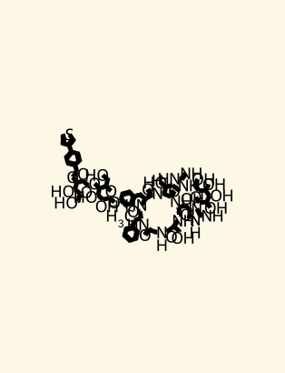 CC(c1ccccc1)C1NC(=O)CNC(=O)C(CO)NC(=O)C(C(O)C2CNC(=N)N2C2OC(CO)C(O)C(O)C2O)NC(=O)C(C(O)C2CNC(=N)N2)NC(=O)C(Cc2ccc(OC3OC(CO)C(OC4OC(CO)C(O)C5OC(c6ccc(-c7ccsc7)cc6)OC45)C(O)C3O)cc2)NC1=O